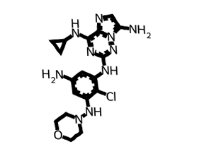 Nc1cc(Nc2nc(NC3CC3)c3ncc(N)n3n2)c(Cl)c(NN2CCOCC2)c1